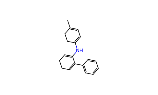 CC1=CC=C(NC2=CCCC=C2c2ccccc2)CC1